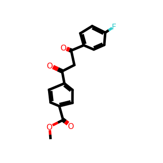 COC(=O)c1ccc(C(=O)CC(=O)c2ccc(F)cc2)cc1